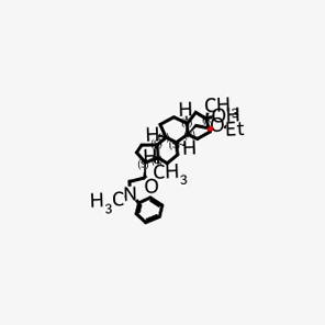 CCOCC[C@]12CC[C@@](C)(O)C[C@@H]1CC[C@H]1[C@@H]3CC[C@H](C(=O)CN(C)c4ccccc4)[C@@]3(C)CC[C@@H]12